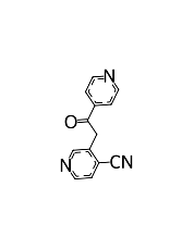 N#Cc1ccncc1CC(=O)c1ccncc1